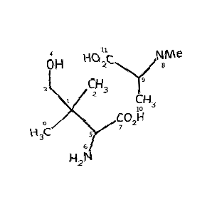 CC(C)(CO)C(N)C(=O)O.CNC(C)C(=O)O